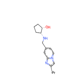 CC(C)c1cn2ccc(CN[C@@H]3CCC[C@@H]3O)cc2n1